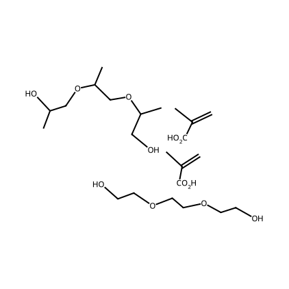 C=C(C)C(=O)O.C=C(C)C(=O)O.CC(O)COC(C)COC(C)CO.OCCOCCOCCO